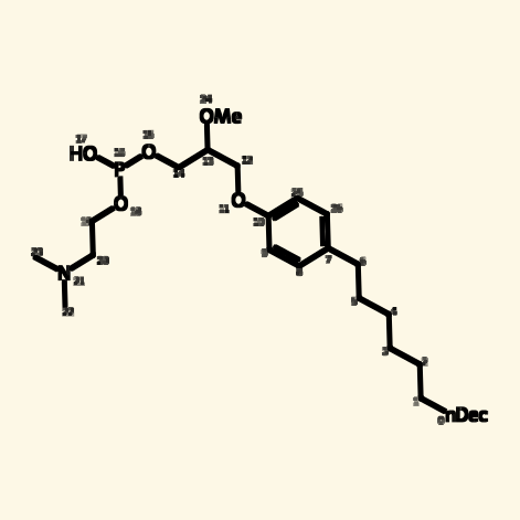 CCCCCCCCCCCCCCCCc1ccc(OCC(COP(O)OCCN(C)C)OC)cc1